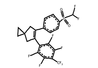 O=S(=O)(c1ccc(C2=C(c3c(F)c(F)c(C(F)(F)F)c(F)c3F)CC3(CC3)C2)cc1)C(F)F